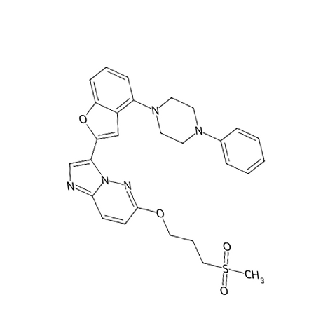 CS(=O)(=O)CCCOc1ccc2ncc(-c3cc4c(N5CCN(c6ccccc6)CC5)cccc4o3)n2n1